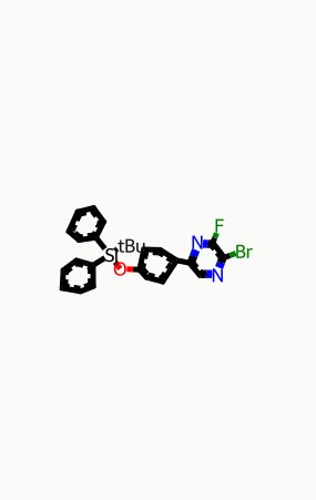 CC(C)(C)[Si](Oc1ccc(-c2cnc(Br)c(F)n2)cc1)(c1ccccc1)c1ccccc1